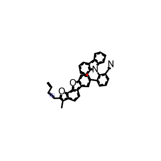 C=C/C=C\c1oc2c(ccc3c4cc(-c5cccc(C#N)c5-n5c6ccccc6c6ccccc65)ccc4oc32)c1C